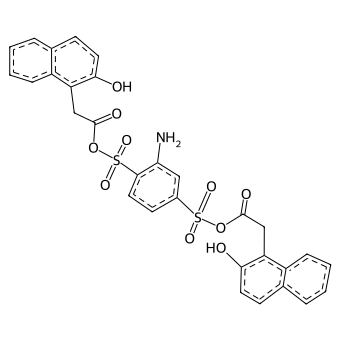 Nc1cc(S(=O)(=O)OC(=O)Cc2c(O)ccc3ccccc23)ccc1S(=O)(=O)OC(=O)Cc1c(O)ccc2ccccc12